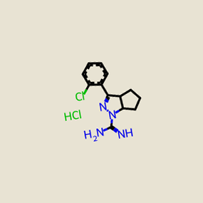 Cl.N=C(N)N1N=C(c2ccccc2Cl)C2CCCC21